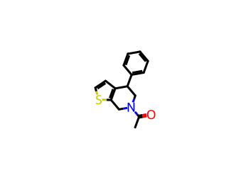 CC(=O)N1Cc2sccc2C(c2ccccc2)C1